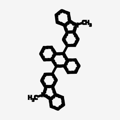 Cn1c2ccccc2c2cc(-c3c4ccccc4c(-c4ccc5c(c4)c4ccccc4n5C)c4ccccc34)ccc21